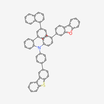 c1cc(-c2ccccc2N(c2ccc(-c3ccc4c(c3)oc3ccccc34)cc2)c2ccc(-c3ccc4sc5ccccc5c4c3)cc2)cc(-c2cccc3ccccc23)c1